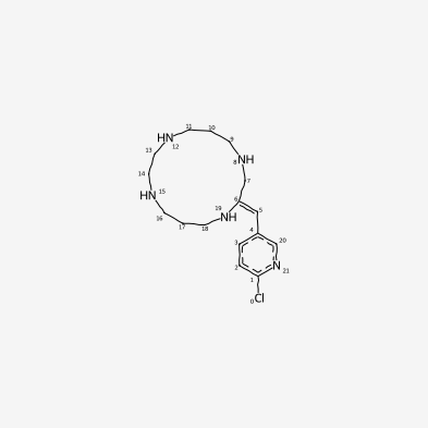 Clc1ccc(C=C2CNCCCNCCNCCCN2)cn1